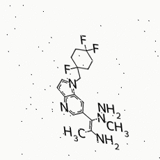 C/C(N)=C(\c1cnc2ccn(CC3(F)CCC(F)(F)CC3)c2c1)N(C)N